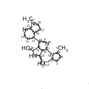 Cc1ccc(C)n1-c1ncc(-c2ccnc3c2ccn3C)c2c1C(=O)NC2O